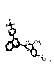 COc1cccc([C@@H](C)NC(C)c2cc(-c3ccc(C(F)(F)F)nc3)c3ccccc3c2)c1